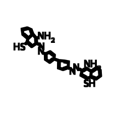 Nc1c(N=Nc2ccc(-c3ccc(N=Nc4cc(S)c5ccccc5c4N)cc3)cc2)cc(S)c2ccccc12